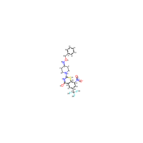 O=c1nc(N2CCC(=NOCc3ccccc3)CC2)sc2c([N+](=O)[O-])cc(C(F)(F)F)cc12